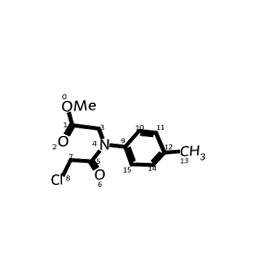 COC(=O)CN(C(=O)CCl)c1ccc(C)cc1